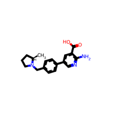 C[C@@H]1CCCN1Cc1ccc(-c2cnc(N)c(C(=O)O)c2)cc1